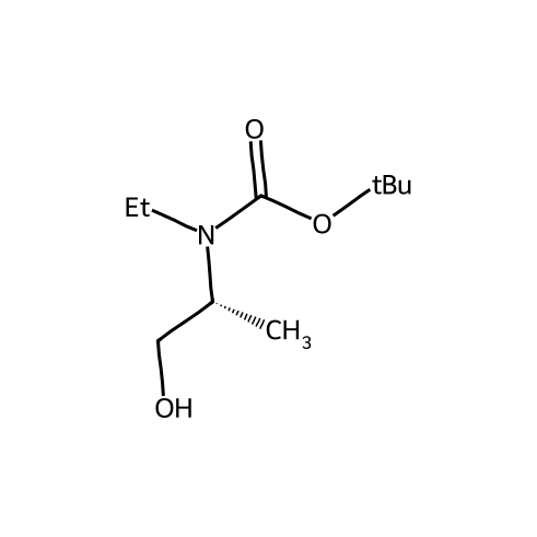 CCN(C(=O)OC(C)(C)C)[C@H](C)CO